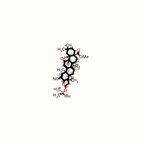 COC(=O)[C@]12CCC(C)(C)C[C@H]1[C@H]1C(=O)C=C3[C@@]4(C)C=C(C#N)C(=O)[C@@](C)(CCO[Si](C)(C)C(C)(C)C)[C@@H]4CC[C@@]3(C)[C@]1(C)CC2